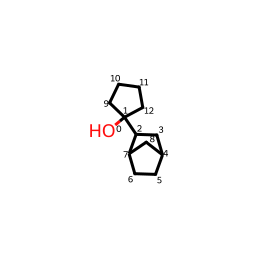 OC1(C2CC3CCC2C3)CCCC1